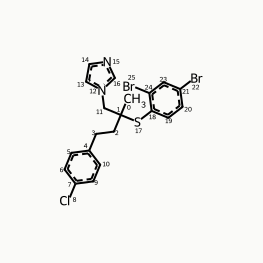 CC(CCc1ccc(Cl)cc1)(Cn1ccnc1)Sc1ccc(Br)cc1Br